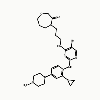 CN1CCN(c2ccc(Nc3ncc(Br)c(NCCCN4CCCOCC4=O)n3)c(C3CC3)c2)CC1